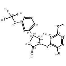 CSc1ncc(Br)c(CN2C(=O)O[C@H](c3cccc(OC(F)(F)F)c3)[C@@H]2C)n1